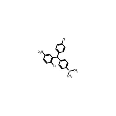 CN(C)c1ccc([C](c2ccc(Cl)cc2)c2cc([N+](=O)[O-])ccc2Cl)cc1